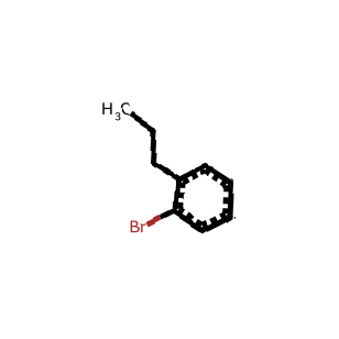 CCCc1cc[c]cc1Br